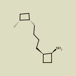 C[C@@H]1CC[C@@H]1CCCC[C@@H]1CC[C@@H]1N